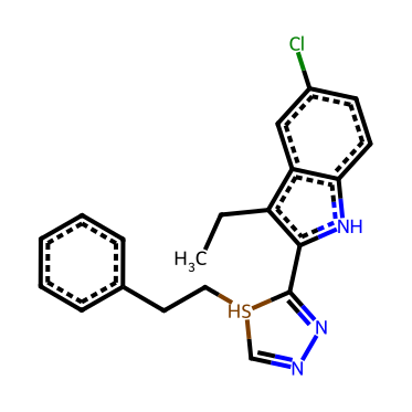 CCc1c(C2=NN=C[SH]2CCc2ccccc2)[nH]c2ccc(Cl)cc12